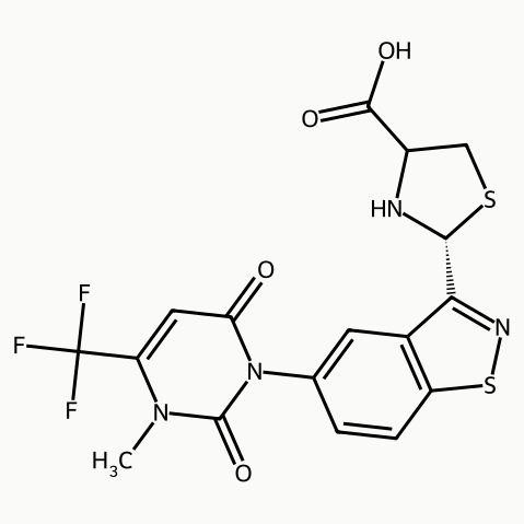 Cn1c(C(F)(F)F)cc(=O)n(-c2ccc3snc([C@@H]4NC(C(=O)O)CS4)c3c2)c1=O